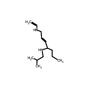 C=CNCC=CC(CCC)NCC(C)C